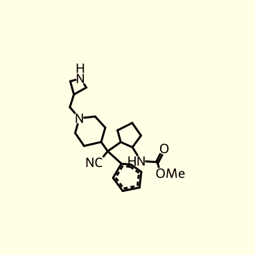 COC(=O)NC1CCCC1C(C#N)(c1ccccc1)C1CCN(CC2CNC2)CC1